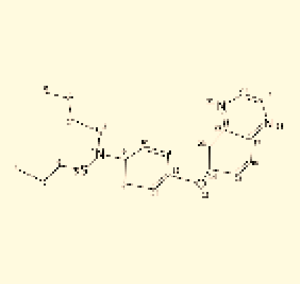 CCCSN(SCCC)c1ccc(Oc2ccc3nccnc3c2)cc1